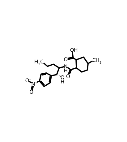 CCCC(NC(=O)C1CCC(C)CC1C(=O)O)[C@H](O)c1ccc([N+](=O)[O-])cc1